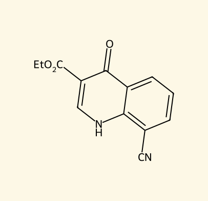 CCOC(=O)c1c[nH]c2c(C#N)cccc2c1=O